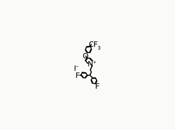 Fc1ccc(C(CCC[n+]2ccc(Oc3ccc(C(F)(F)F)cc3)cc2)c2ccc(F)cc2)cc1.[I-]